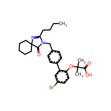 CCCCC1=NC2(CCCCC2)C(=O)N1Cc1ccc(-c2cc(Br)ccc2OC(C)(C)C(=O)O)cc1